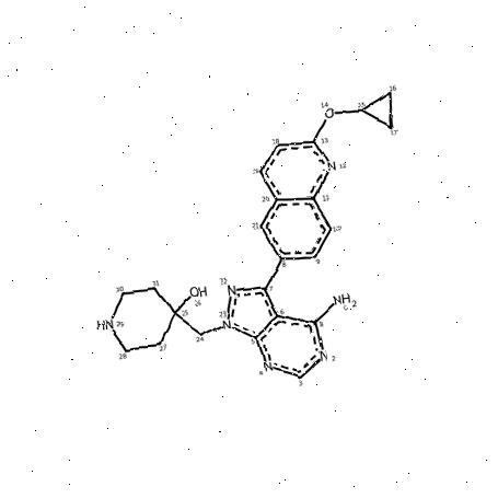 Nc1ncnc2c1c(-c1ccc3nc(OC4CC4)ccc3c1)nn2CC1(O)CCNCC1